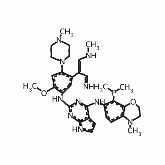 CN/C=C(\C=N)c1cc(Nc2nc(Nc3ccc4c(c3P(C)C)OCCN4C)c3cc[nH]c3n2)c(OC)cc1N1CCN(C)CC1